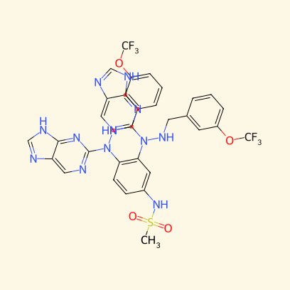 CS(=O)(=O)Nc1ccc(N(NCc2cccc(OC(F)(F)F)c2)c2ncc3nc[nH]c3n2)c(N(NCc2cccc(OC(F)(F)F)c2)c2ncc3nc[nH]c3n2)c1